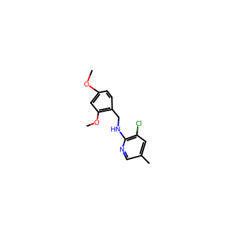 COc1ccc(CNc2ncc(C)cc2Cl)c(OC)c1